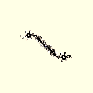 Fc1c(F)c(C(F)(F)F)c(F)c(F)c1OCCC(F)(F)C(F)(F)C(F)(F)C(F)(F)C(F)(F)C(F)(F)/C=C/C(F)(F)C(F)(F)C(F)(F)C(F)(F)C(F)(F)C(F)(F)CCOc1c(F)c(F)c(C(F)(F)F)c(F)c1F